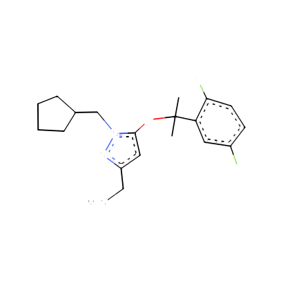 [2H]C([2H])(Oc1cc(CNC)nn1CC1CCCC1)c1cc(F)ccc1F